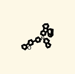 c1ccc2c(c1)-c1ccc(N(c3ccc(-c4ccc5c(c4)oc4ccccc45)cc3)c3ccc4ccccc4c3)cc1C21C2CC3CC(C2)CC1C3